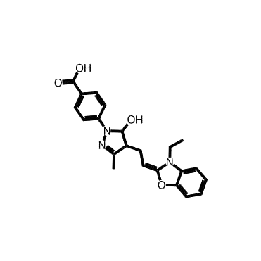 CCN1C(=CCC2C(C)=NN(c3ccc(C(=O)O)cc3)C2O)Oc2ccccc21